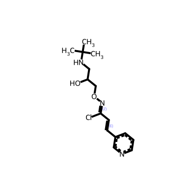 CC(C)(C)NCC(O)CO/N=C(Cl)/C=C/c1cccnc1